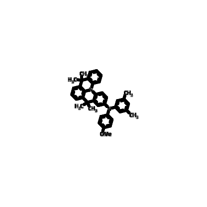 COc1ccc(N(c2cc(C)cc(C)c2)c2ccc3c(c2)C(C)(C)c2cccc4c2N3c2ccccc2C4(C)C)cc1